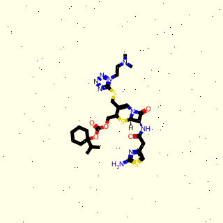 CC(C)C1(OC(=O)OCC2S[C@@H]3[C@H](NC(=O)Cc4csc(N)n4)C(=O)N3C=C2CSc2nnnn2CCN(C)C)CCCCC1